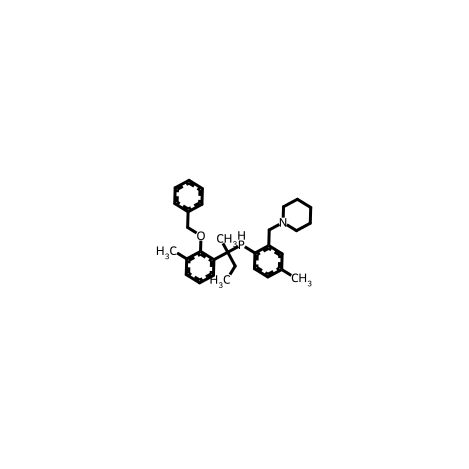 CCC(C)(Pc1ccc(C)cc1CN1CCCCC1)c1cccc(C)c1OCc1ccccc1